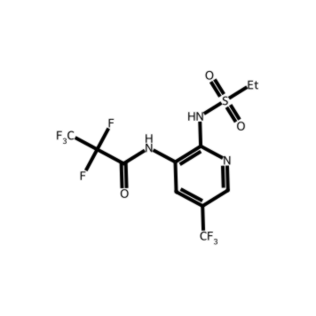 CCS(=O)(=O)Nc1ncc(C(F)(F)F)cc1NC(=O)C(F)(F)C(F)(F)F